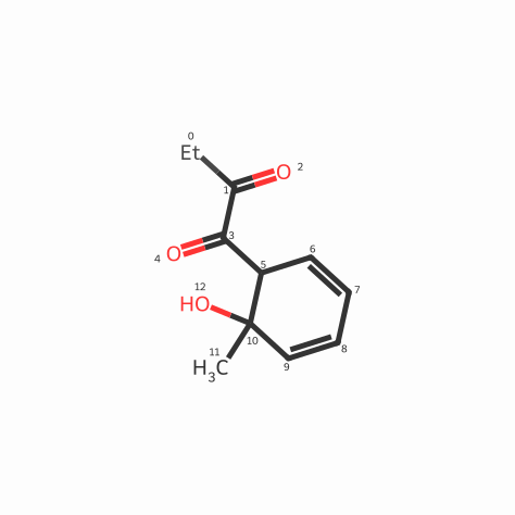 CCC(=O)C(=O)C1C=CC=CC1(C)O